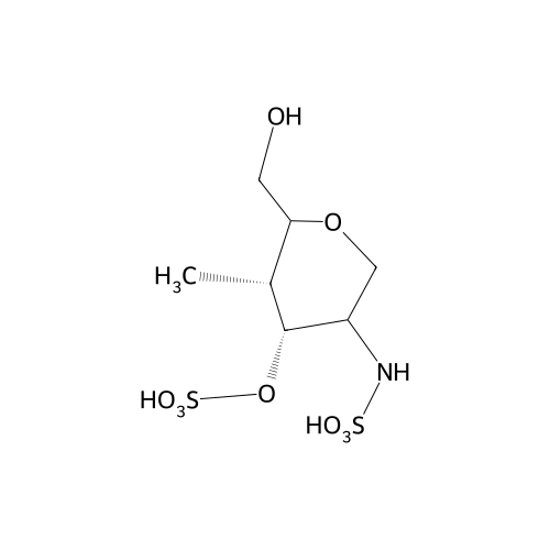 C[C@@H]1C(CO)OCC(NS(=O)(=O)O)[C@@H]1OS(=O)(=O)O